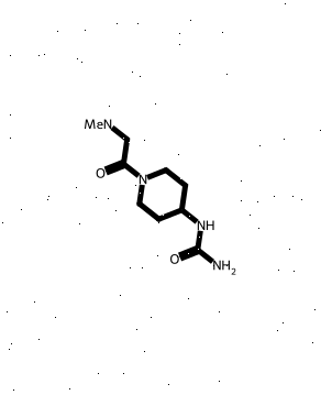 CNCC(=O)N1CCC(NC(N)=O)CC1